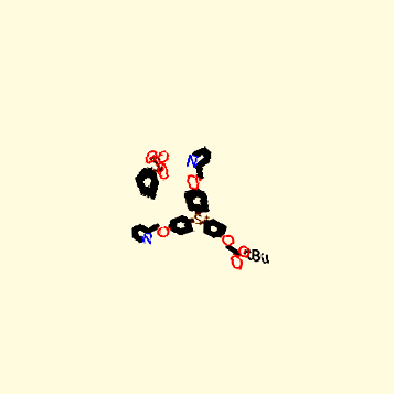 CC(C)(C)OC(=O)COc1ccc([S+](c2ccc(OCc3ccccn3)cc2)c2ccc(OCc3ccccn3)cc2)cc1.O=S(=O)([O-])c1ccccc1